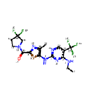 CCNc1nc(Nc2sc(C(=O)N3CCC(F)(F)C3)nc2C)ncc1C(F)(F)F